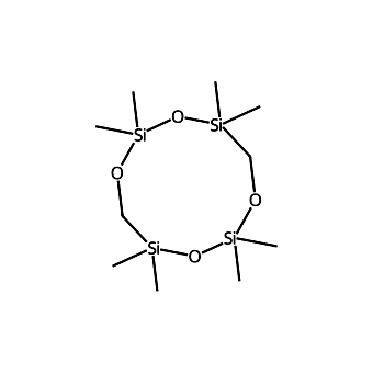 C[Si]1(C)CO[Si](C)(C)O[Si](C)(C)CO[Si](C)(C)O1